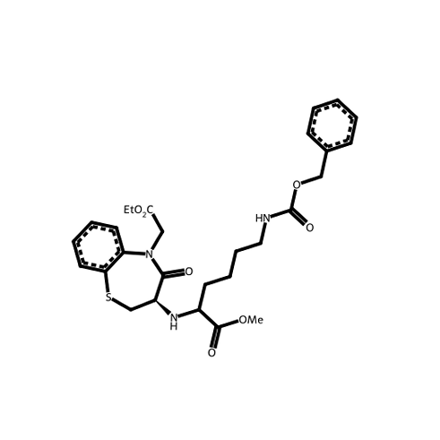 CCOC(=O)CN1C(=O)[C@@H](NC(CCCCNC(=O)OCc2ccccc2)C(=O)OC)CSc2ccccc21